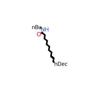 CCCCCCCCCCCC=CCCCCCCCC(=O)NCCCC